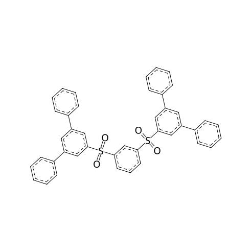 O=S(=O)(c1cc(-c2ccccc2)cc(-c2ccccc2)c1)c1cccc(S(=O)(=O)c2cc(-c3ccccc3)cc(-c3ccccc3)c2)c1